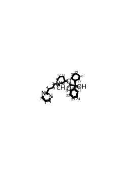 C[N+]1(CCCc2ncccn2)CCCC(OC(=O)C(O)(c2ccccc2)C2CCCCC2)C1